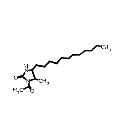 CCCCCCCCCCCCC1NC(=O)N(C(C)=O)C1C